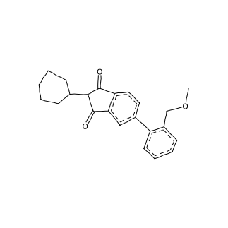 COCc1ccccc1-c1ccc2c(c1)C(=O)C(C1CCCCC1)C2=O